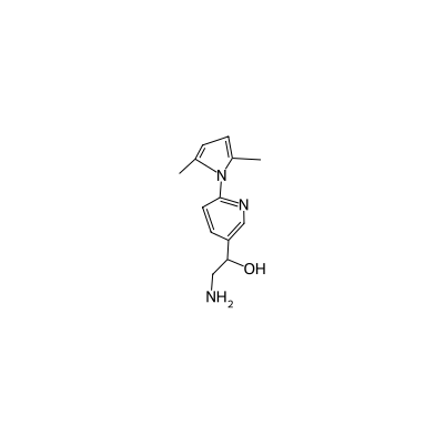 Cc1ccc(C)n1-c1ccc(C(O)CN)cn1